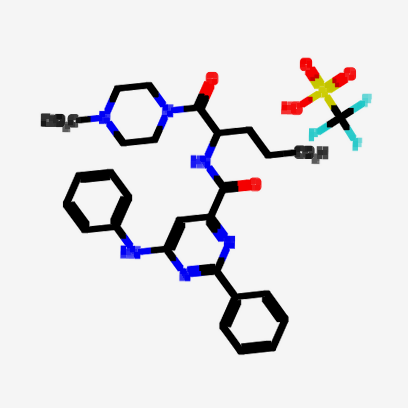 CCOC(=O)N1CCN(C(=O)C(CCC(=O)O)NC(=O)c2cc(Nc3ccccc3)nc(-c3ccccc3)n2)CC1.O=S(=O)(O)C(F)(F)F